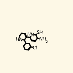 NC1C=CC(C2=CCCNC2C2CCC=C(Cl)C2)NC1S